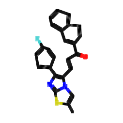 Cc1cn2c(C=CC(=O)c3ccc4ccccc4c3)c(-c3ccc(F)cc3)nc2s1